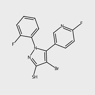 Fc1ccc(-c2c(Br)c(S)nn2-c2ccccc2F)cn1